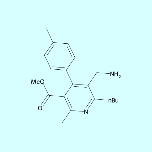 CCCCc1nc(C)c(C(=O)OC)c(-c2ccc(C)cc2)c1CN